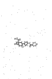 O=C(O)c1c[nH]c2cc(Cl)c(-c3ccc(CC(=O)N4CCOCC4)cc3)cc12